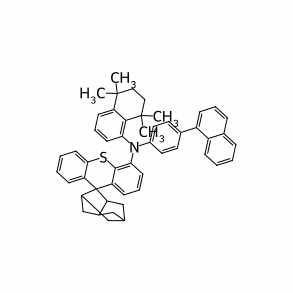 CC1(C)CCC(C)(C)c2c(N(c3ccc(-c4cccc5ccccc45)cc3)c3cccc4c3Sc3ccccc3C43C4CC5CC(C4)C3C5)cccc21